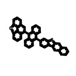 c1ccc2cc3c(cc2c1)sc1cc(-c2c4ccccc4c(-c4cc5cccc6oc7cccc4c7c56)c4ccccc24)ccc13